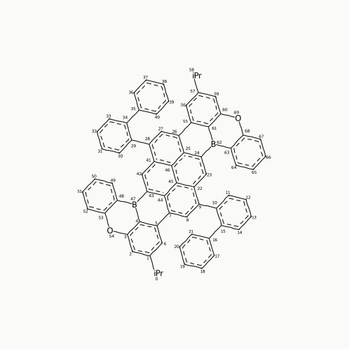 CC(C)c1cc2c3c(c1)-c1cc(-c4ccccc4-c4ccccc4)c4cc5c6c(cc(-c7ccccc7-c7ccccc7)c7cc(c1c4c76)B3c1ccccc1O2)-c1cc(C(C)C)cc2c1B5c1ccccc1O2